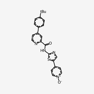 CC(C)(C)c1ccc(-c2ccnc(C(=O)Nc3ncc(-c4cc[n+]([O-])cc4)s3)c2)cc1